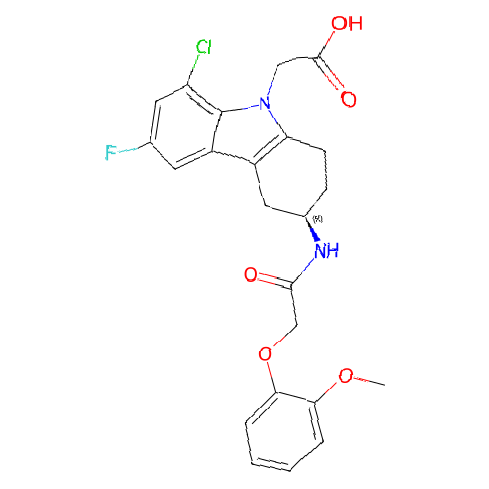 COc1ccccc1OCC(=O)N[C@@H]1CCc2c(c3cc(F)cc(Cl)c3n2CC(=O)O)C1